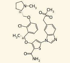 C[C@@H](Oc1cc(-n2cnc3ccc(CS(C)(=O)=O)cc32)sc1C(N)=O)c1cccc(OC[C@@H]2CCCN2C)c1Cl